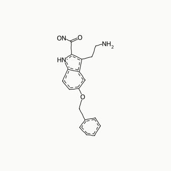 NCCc1c(C(=O)N=O)[nH]c2ccc(OCc3ccccc3)cc12